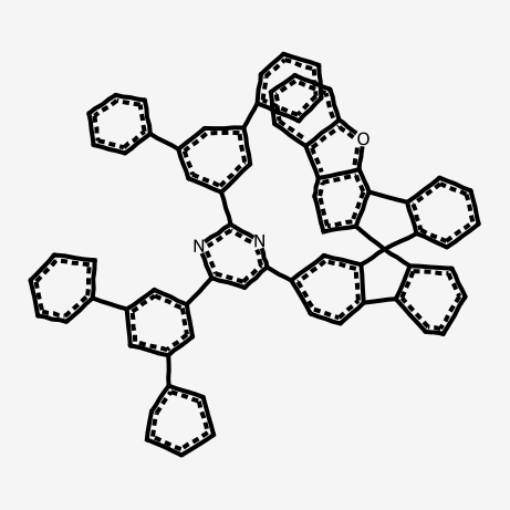 c1ccc(-c2cc(-c3ccccc3)cc(-c3cc(-c4ccc5c(c4)C4(c6ccccc6-5)c5ccccc5-c5c4ccc4c5oc5ccccc54)nc(-c4cc(-c5ccccc5)cc(-c5ccccc5)c4)n3)c2)cc1